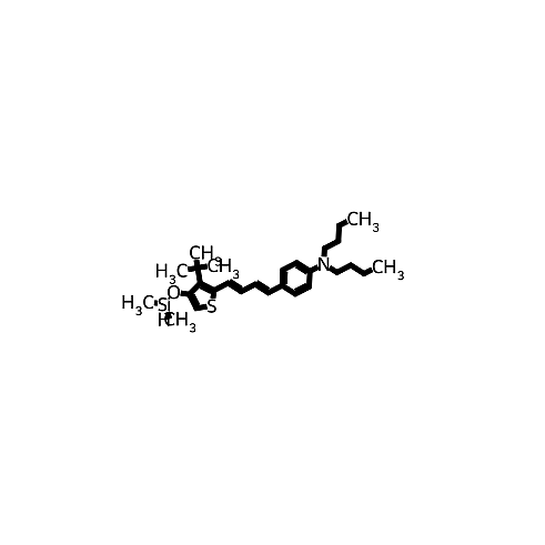 CCCCN(CCCC)c1ccc(C=CC=Cc2scc(O[SiH](C)C)c2C(C)(C)C)cc1